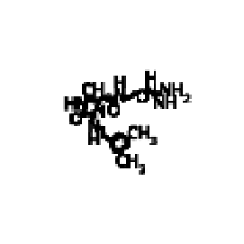 Cc1cc(C)cc(CCNc2nc(CC(=O)NCCONC(=N)N)c(C)[nH]c2=O)c1